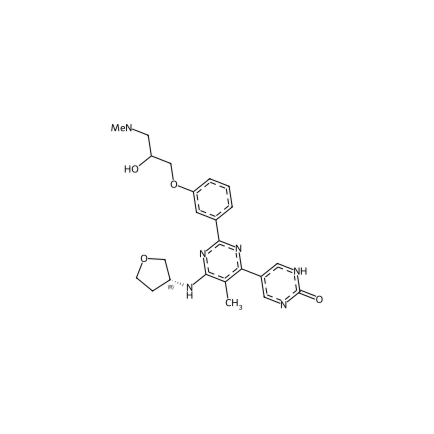 CNCC(O)COc1cccc(-c2nc(N[C@@H]3CCOC3)c(C)c(-c3cnc(=O)[nH]c3)n2)c1